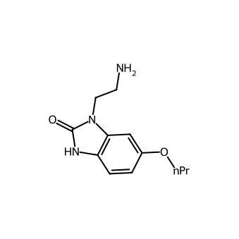 CCCOc1ccc2[nH]c(=O)n(CCN)c2c1